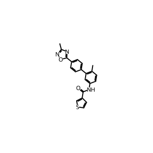 Cc1noc(-c2ccc(-c3cc(NC(=O)c4ccsc4)ccc3C)cc2)n1